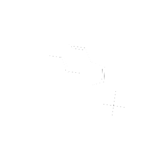 COc1ncc2cc(CC(F)(F)F)sc2n1